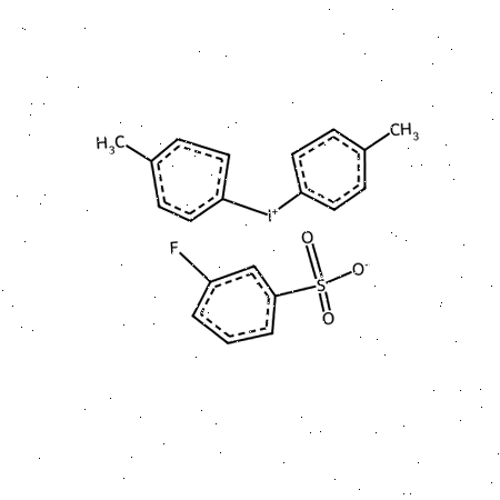 Cc1ccc([I+]c2ccc(C)cc2)cc1.O=S(=O)([O-])c1cccc(F)c1